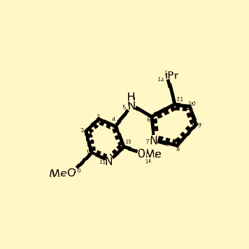 COc1ccc(Nc2ncccc2C(C)C)c(OC)n1